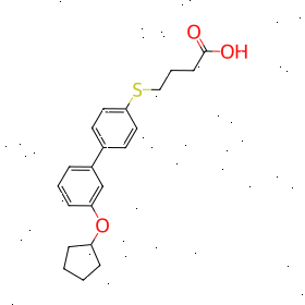 O=C(O)CCCSc1ccc(-c2cccc(OC3CCCC3)c2)cc1